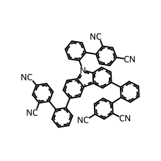 N#Cc1ccc(-c2ccccc2-c2ccc3c(c2)c2cc(-c4ccccc4-c4ccc(C#N)cc4C#N)ccc2n3-c2ccccc2-c2ccc(C#N)cc2C#N)c(C#N)c1